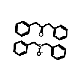 O=C(Cc1ccccc1)Cc1ccccc1.[O-][S+](Cc1ccccc1)Cc1ccccc1